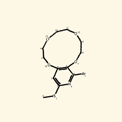 CSc1cc2c(c(Br)n1)OCCOCCOCCO2